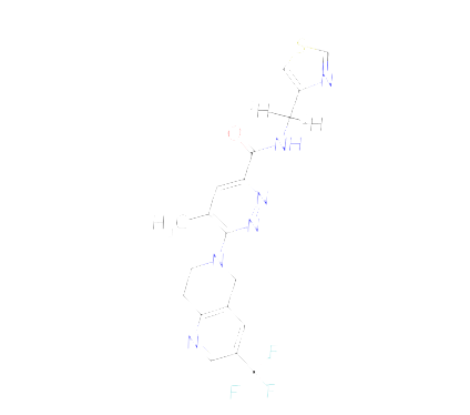 [2H]C([2H])(NC(=O)c1cc(C)c(N2CCc3ncc(C(F)(F)F)cc3C2)nn1)c1cscn1